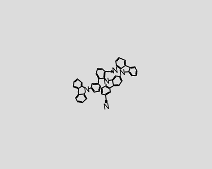 N#Cc1ccc2c(c1)c1ccc(-n3c4ccccc4c4ccccc43)cc1n2-c1c(C#N)cccc1-c1cccc(-n2c3ccccc3c3ccccc32)c1